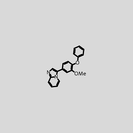 COc1cc(-c2cnc3ccccn23)ccc1Oc1ccccc1